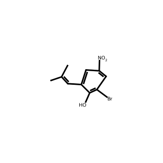 CC(C)=Cc1cc([N+](=O)[O-])cc(Br)c1O